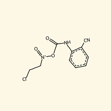 N#Cc1ccccc1NC(=O)O[N+](=O)CCCl